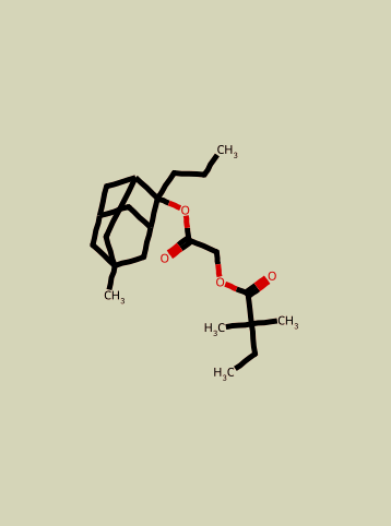 CCCC1(OC(=O)COC(=O)C(C)(C)CC)C2CC3CC1CC(C)(C3)C2